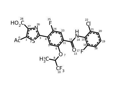 CC(=O)c1sc(-c2cc(OC(C)C(F)(F)F)c(C(=O)Nc3c(F)cccc3Cl)cc2F)nc1C(=O)O